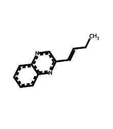 CC/C=C/c1cnc2ccccc2n1